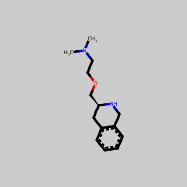 CN(C)CCOC[C@@H]1Cc2ccccc2CN1